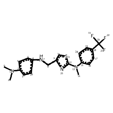 CN(C)c1ccc(NCc2csc(N(C)c3ccc(C(F)(F)F)cc3)n2)cc1